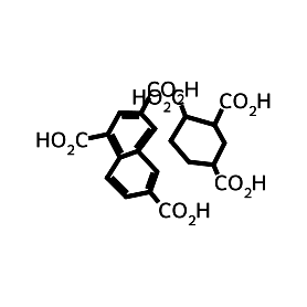 O=C(O)C1CCC(C(=O)O)C(C(=O)O)C1.O=C(O)c1ccc2c(C(=O)O)cc(C(=O)O)cc2c1